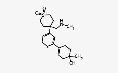 CNCC1(C2=CC[CH]C(C3=CCC(C)(C)CC3)=C2)CCS(=O)(=O)CC1